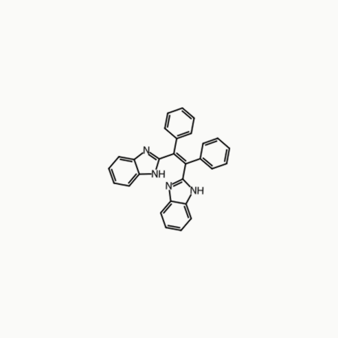 c1ccc(C(=C(c2ccccc2)c2nc3ccccc3[nH]2)c2nc3ccccc3[nH]2)cc1